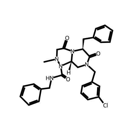 CN1CC(=O)N2[C@@H](Cc3ccccc3)C(=O)N(Cc3cccc(Cl)c3)C[C@@H]2N1C(=O)NCc1ccccc1